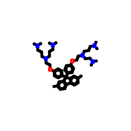 Cc1ccc2c(c1)C(c1ccc(OCCN(CCCN(C)C)CCCN(C)C)cc1)(c1ccc(OCCN(CCCN(C)C)CCN(C)C)cc1)c1cc(C)ccc1-2